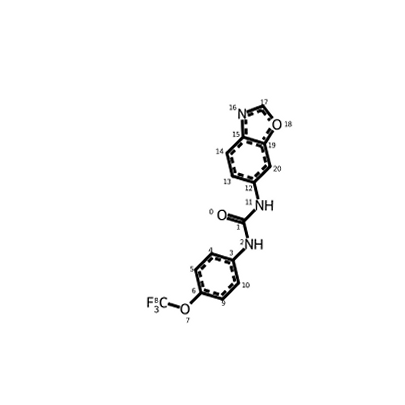 O=C(Nc1ccc(OC(F)(F)F)cc1)Nc1ccc2ncoc2c1